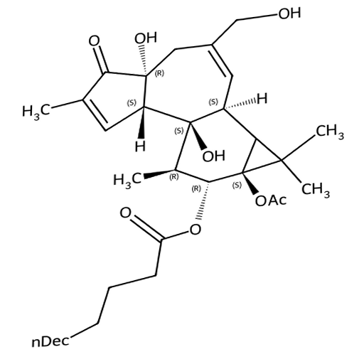 CCCCCCCCCCCCCC(=O)O[C@@H]1[C@@H](C)[C@@]2(O)[C@@H](C=C(CO)C[C@]3(O)C(=O)C(C)=C[C@@H]23)C2C(C)(C)[C@@]21OC(C)=O